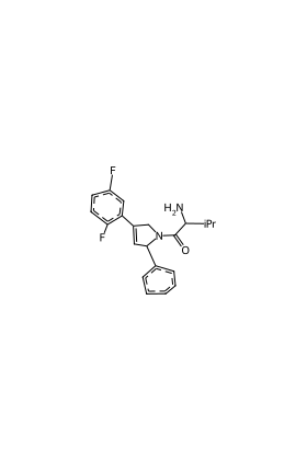 CC(C)C(N)C(=O)N1CC(c2cc(F)ccc2F)=CC1c1ccccc1